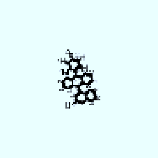 [2H]c1c([2H])c([2H])c(-c2c3ccccc3c(-c3cc(Br)cc4ccccc34)c3ccccc23)c([2H])c1[2H]